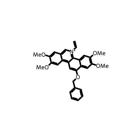 C=C[n+]1cc2cc(OC)c(OC)cc2c2cc(OCc3ccccc3)c3cc(OC)c(OC)cc3c21